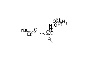 CCCCC(CC)COC(=O)CCCCCC(C)OC(=O)NCCOC(=O)C(C)(CC)CC